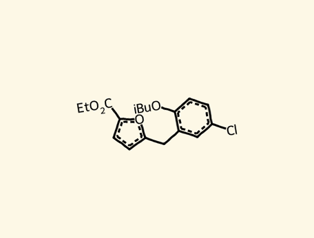 CCOC(=O)c1ccc(Cc2cc(Cl)ccc2OCC(C)C)o1